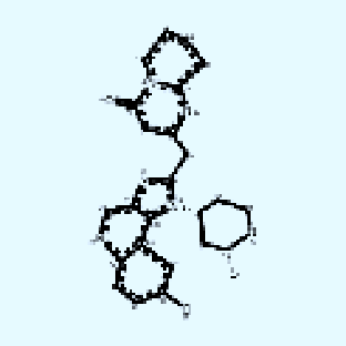 C[C@@H]1C[C@H](n2c(Cc3cc(=O)n4ccccc4n3)nc3cnc4ccc(Cl)cc4c32)CCO1